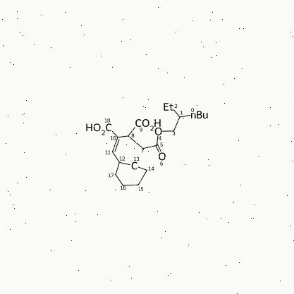 CCCCC(CC)COC(=O)CC(C(=O)O)C(=CC1CCCCC1)C(=O)O